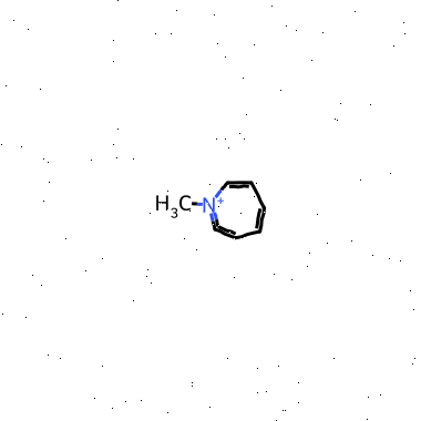 C[N+]1=C=CC=CC=C1